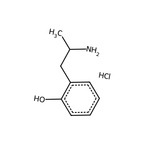 CC(N)Cc1ccccc1O.Cl